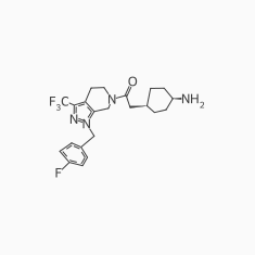 N[C@H]1CC[C@@H](CC(=O)N2CCc3c(C(F)(F)F)nn(Cc4ccc(F)cc4)c3C2)CC1